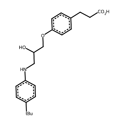 CC(C)(C)c1ccc(NCC(O)COc2ccc(CCC(=O)O)cc2)cc1